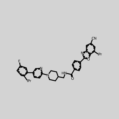 CC(C)c1ccc(F)cc1-c1ccc(N2CCC(CNC(=O)c3ccc(-c4nc5cc(C#N)cc(C(C)C)c5o4)cc3)CC2)nc1